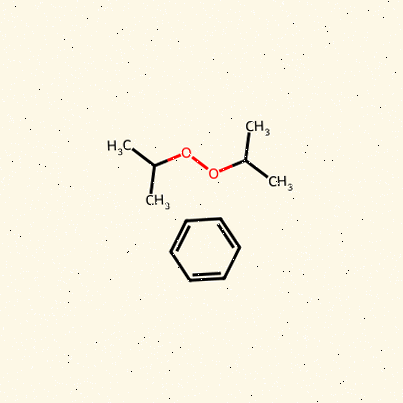 CC(C)OOC(C)C.c1ccccc1